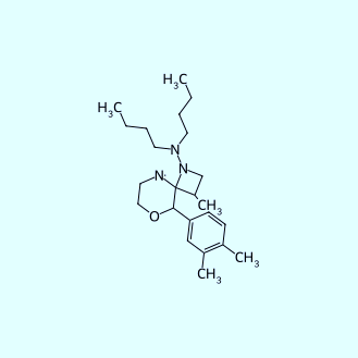 CCCCN(CCCC)N1CC(C)C12[N]CCOC2c1ccc(C)c(C)c1